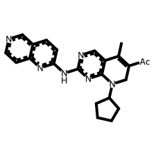 CC(=O)C1=C(C)c2cnc(Nc3ccc4cnccc4n3)nc2N(C2CCCC2)C1